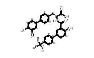 O=C(N[C@@H](Cc1ccc(-c2ccc(F)c(Cl)c2)cc1)C(=O)O)c1cc(-c2ccc(C(F)(F)F)cc2)ccc1O